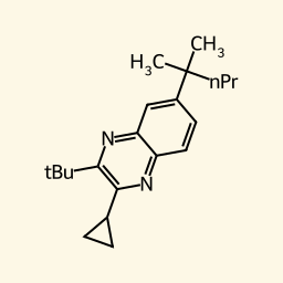 CCCC(C)(C)c1ccc2nc(C3CC3)c(C(C)(C)C)nc2c1